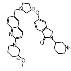 CO[C@H]1CCCN(c2ccc3cc(CN4CC[C@H](Oc5ccc6c(c5)CN(C5CCCNC5)C6=O)C4)ccc3n2)C1